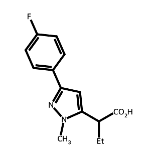 CCC(C(=O)O)c1cc(-c2ccc(F)cc2)nn1C